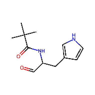 CC(C)(C)C(=O)NC(C=O)Cc1cc[nH]c1